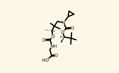 C[C@@H](OC(=O)N(CC(C)(C)[C@@H](C)OC(=O)NCC(=O)O)C1CC1)C(C)(C)C